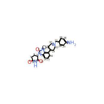 Cn1c(=O)n(C2CCC(=O)NC2=O)c2cccc(C3CCN(Cc4ccc(N)cc4)CC3)c21